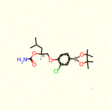 CC(C)C[C@@](C)(COc1ccc(B2OC(C)(C)C(C)(C)O2)cc1Cl)OC(N)=O